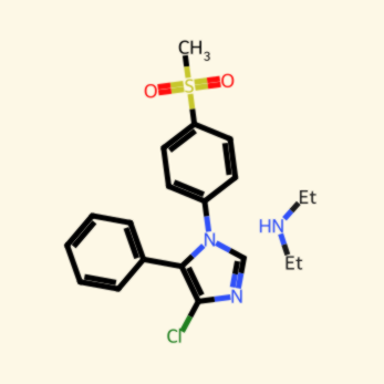 CCNCC.CS(=O)(=O)c1ccc(-n2cnc(Cl)c2-c2ccccc2)cc1